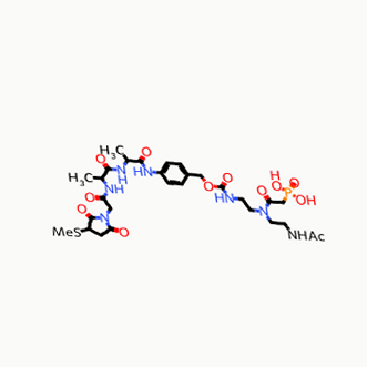 CSC1CC(=O)N(CC(=O)NC(C)C(=O)NC(C)C(=O)Nc2ccc(COC(=O)NCCN(CCNC(C)=O)C(=O)CP(=O)(O)O)cc2)C1=O